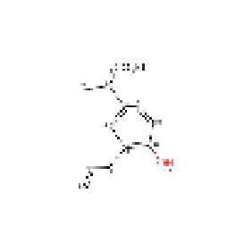 C=CCc1cc(C(C)C(=O)OCC)ccc1O